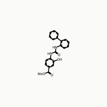 COC(=O)c1ccc(NC(=O)Nc2ccccc2-c2ccccc2)c(O)c1